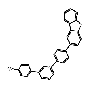 Cc1ccc(-c2cccc(-c3ccc(-c4ccc5sc6ccccc6c5c4)cc3)c2)cc1